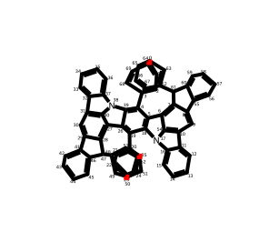 c1ccc(-c2c3c4c5c(cc6c7ccccc7n(c3c(-c3ccccc3)c3c7c8c(cc9c%10ccccc%10n(c23)c97)-c2ccccc2C8c2ccccc2)c64)-c2ccccc2C5c2ccccc2)cc1